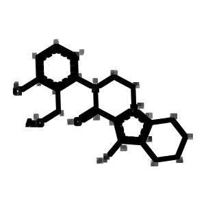 CC(=O)OCc1c(Cl)ccnc1N1CCn2c3c(c(F)c2C1=O)CCCC3